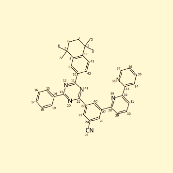 CC1(C)CCC(C)(C)c2cc(-c3nc(-c4ccccc4)nc(-c4cc(C#N)cc(-c5cccc(-c6ccccn6)n5)c4)n3)ccc21